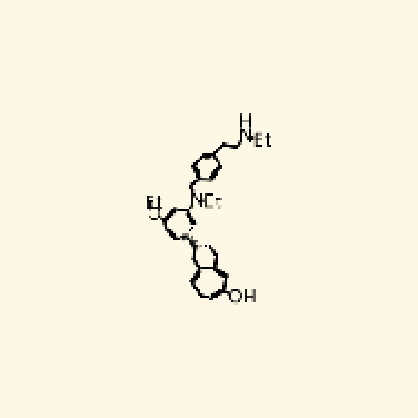 CCNCCc1ccc(CN(CC)C2=C[C@H]([C@@H]3CCC4=CC(O)=CCC=C4C3)C=CC(OCC)=C2)cc1